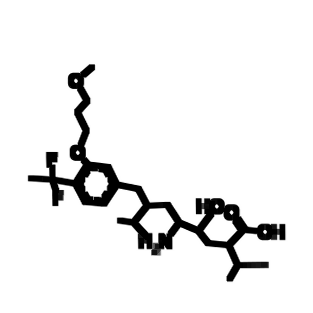 COCCCOc1cc(CC(CC(N)C(O)CC(C(=O)O)C(C)C)C(C)C)ccc1C(C)(F)F